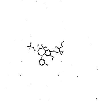 CCOC(=O)C1(COc2cc3c(cc2SC)N(c2cccc(F)c2)C[C@H](CCC(C)(F)F)[C@H](F)S3(=O)=O)CC1